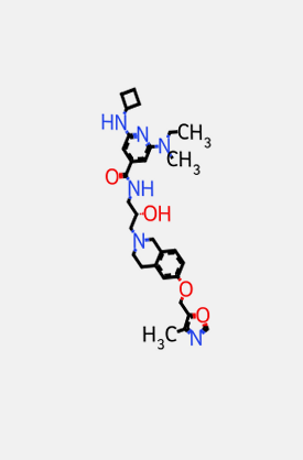 CCN(C)c1cc(C(=O)NC[C@H](O)CN2CCc3cc(OCc4ocnc4C)ccc3C2)cc(NC2CCC2)n1